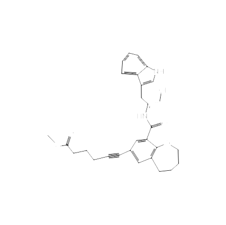 COC(=O)CCCC#Cc1cc2c(c(C(=O)N[C@@H](CO)Cc3c[nH]c4ccccc34)c1)OCCCC2